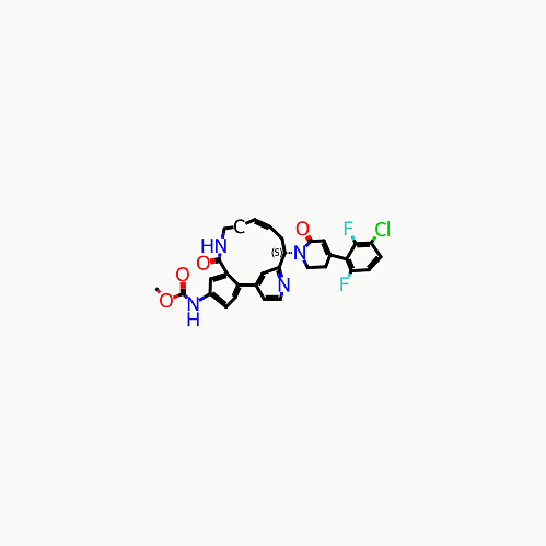 COC(=O)Nc1ccc2c(c1)C(=O)NCCC=CC[C@H](N1CCC(c3c(F)ccc(Cl)c3F)=CC1=O)c1cc-2ccn1